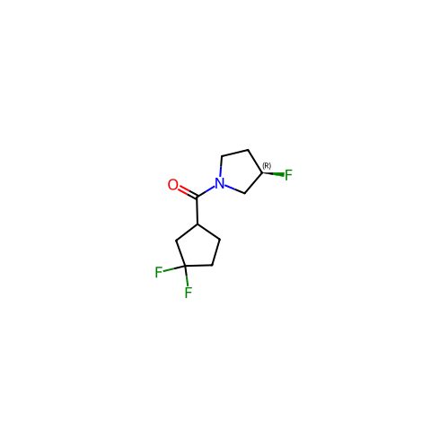 O=C(C1CCC(F)(F)C1)N1CC[C@@H](F)C1